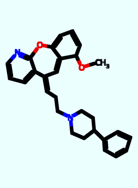 COC1C=CC=C2Oc3ncccc3C(=CCCN3CCC(c4ccccc4)CC3)C=C21